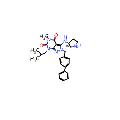 CC(C)Cn1c(=O)n(C)c(=O)c2c(N[C@H]3CCNC3)n(Cc3ccc(-c4ccccc4)cc3)nc21